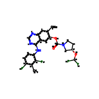 COc1cc2ncnc(Nc3ccc(F)c(C)c3F)c2cc1OC(=O)N1CC[C@H](OC(F)F)C1